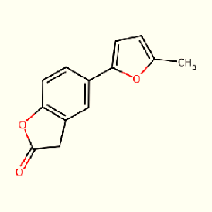 Cc1ccc(-c2ccc3c(c2)CC(=O)O3)o1